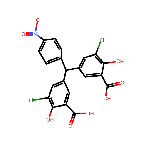 O=C(O)c1cc(C(c2ccc([N+](=O)[O-])cc2)c2cc(Cl)c(O)c(C(=O)O)c2)cc(Cl)c1O